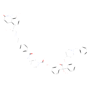 O=C(N[C@H]1CCCN(C(=O)COc2cccc([C@](O)(C(=O)OCC3CCN(Cc4ccccc4)CC3)c3ccccc3)c2)C1)c1ccc(CCNC[C@H](O)c2ccc(O)c3[nH]c(=O)ccc23)cc1